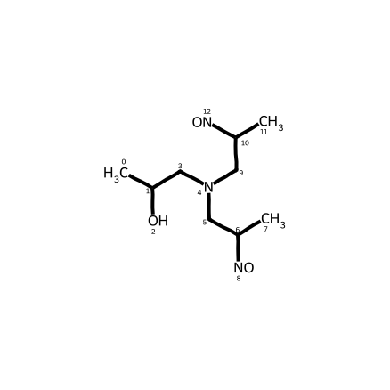 CC(O)CN(CC(C)N=O)CC(C)N=O